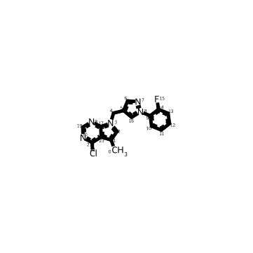 Cc1cn(Cc2cnn(-c3ccccc3F)c2)c2ncnc(Cl)c12